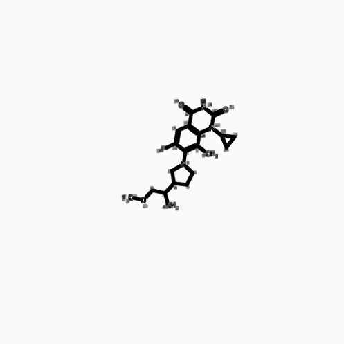 Cc1c(N2CCC(C(N)COC(F)(F)F)C2)c(F)cc2c(=O)[nH]c(=O)n(C3CC3)c12